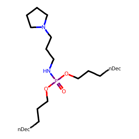 CCCCCCCCCCCCCOP(=O)(NCCCN1CCCC1)OCCCCCCCCCCCCC